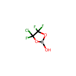 OB1OC(F)(F)C(F)(Cl)O1